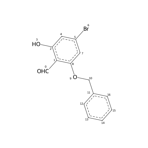 O=Cc1c(O)cc(Br)cc1OCc1ccccc1